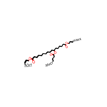 CCCCCC/C=C/COC(=O)CCCCCC(CCCCCCCCCC(=O)OC/C=C\CCCCCCCC)OC(=O)CCCOC